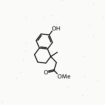 COC(=O)CC1(C)CCCc2ccc(O)cc21